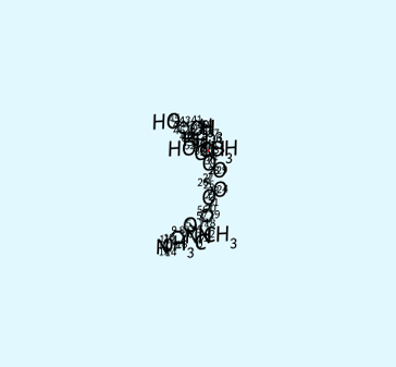 CN(C)C(C(=O)Nc1ccc2cnccc2c1)c1ccc(COC(=O)C2CC2C(=O)OCC(=O)[C@@]2(O)CC[C@H]3[C@@H]4CCC5=CC(O)C=C[C@]5(C)[C@H]4[C@@H](O)C[C@@]32C)cc1